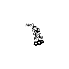 CO[C@H]1COc2c([SH](N)(=O)N(C)C(=O)Nc3c4c(cc5c3CC5)CCC4)cnn2C1